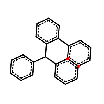 c1ccc(-c2ccccc2C(c2ccccc2)c2ccccc2)cc1